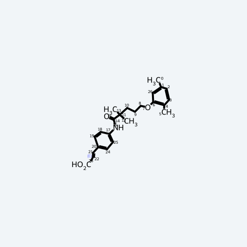 Cc1ccc(C)c(OCCCC(C)(C)C(=O)Nc2ccc(/C=C/C(=O)O)cc2)c1